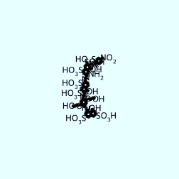 Nc1c(N=Nc2ccc3c(O)c(N=Nc4cc(OCCO)c(N=Nc5cc(S(=O)(=O)O)cc6cc(S(=O)(=O)O)cc(O)c56)cc4OCCO)c(S(=O)(=O)O)cc3c2S(=O)(=O)O)cc(S(=O)(=O)O)c2cc(S(=O)(=O)O)c(N=Nc3ccc([N+](=O)[O-])cc3S(=O)(=O)O)c(O)c12